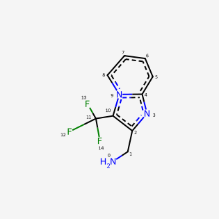 NCc1nc2ccccn2c1C(F)(F)F